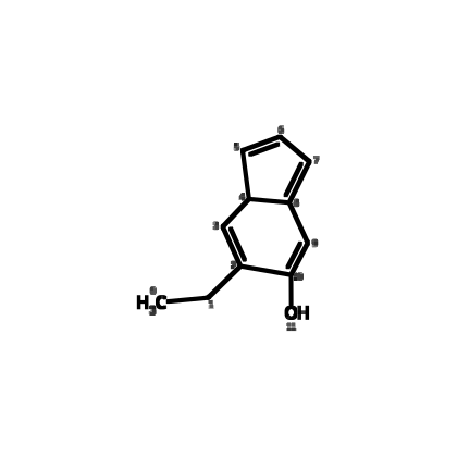 CCC1=CC2C=CC=C2C=C1O